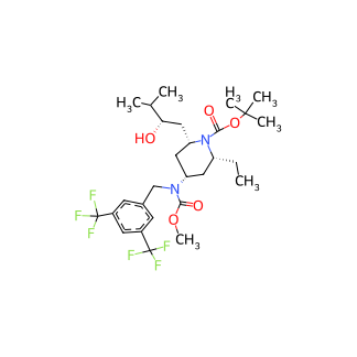 CC[C@@H]1C[C@H](N(Cc2cc(C(F)(F)F)cc(C(F)(F)F)c2)C(=O)OC)C[C@H](C[C@H](O)C(C)C)N1C(=O)OC(C)(C)C